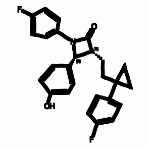 O=C1[C@H](CCC2(c3ccc(F)cc3)CC2)[C@@H](c2ccc(O)cc2)N1c1ccc(F)cc1